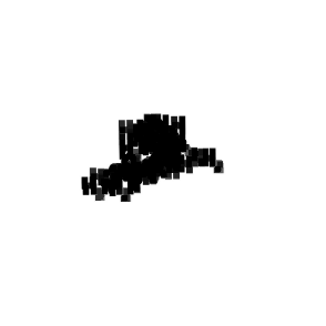 C[C@H](NC(=O)C[C@@H](O)CN)C(=O)NCC(=O)/N=C(\CCCN)C(=O)N1CCC[C@H]1C(=O)N[C@@H](Cc1cnc[nH]1)C(=O)N[C@@H](CCCCN)C(=O)N/C(=C\CCNC(=N)N)C(=O)N[C@@H](CCCCN)C(=O)NCCCCCN